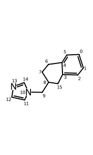 c1ccc2c(c1)CCC(Cn1ccnc1)C2